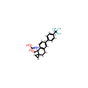 O=C[C@@]1(NC(=O)O)c2ccc(-c3ccc(C(F)(F)F)cc3)cc2CCC12CC2